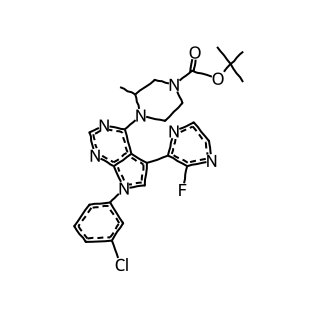 CC1CN(C(=O)OC(C)(C)C)CCN1c1ncnc2c1c(-c1nccnc1F)cn2-c1cccc(Cl)c1